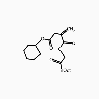 C=C(CC(=O)OC1CCCCC1)C(=O)OCC(=O)CCCCCCCC